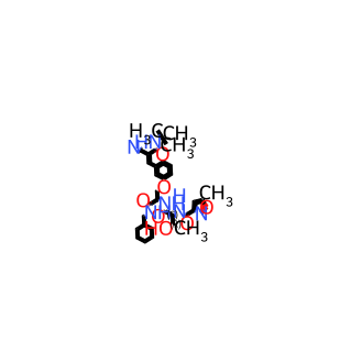 Cc1cc(C(=O)N[C@H](C(=O)NC(COc2cccc(C=C(C#N)C(=O)NC(C)(C)C)c2)C(=O)NCC2CCCCC2)[C@@H](C)O)no1